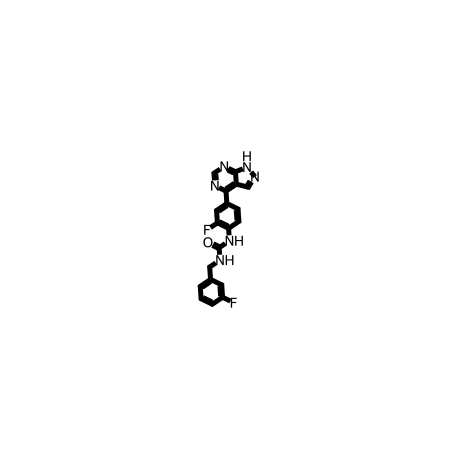 O=C(NCc1cccc(F)c1)Nc1ccc(-c2ncnc3[nH]ncc23)cc1F